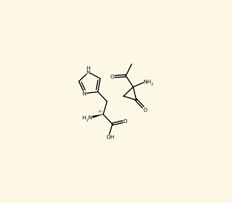 CC(=O)C1(N)CC1=O.N[C@@H](Cc1c[nH]cn1)C(=O)O